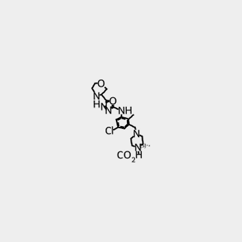 Cc1c(CN2CCN(C(=O)O)[C@@H](C)C2)cc(Cl)cc1Nc1nnc(C2COCCN2)o1